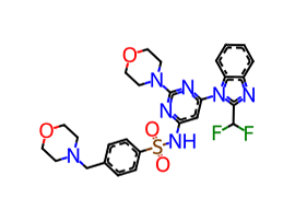 O=S(=O)(Nc1cc(-n2c(C(F)F)nc3ccccc32)nc(N2CCOCC2)n1)c1ccc(CN2CCOCC2)cc1